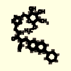 COC1OC(Cn2cc(CNC(=O)/C(C#N)=C/c3ccc4cc(N5CCCCC5)ccc4c3)nn2)C(O)C(O)C1C